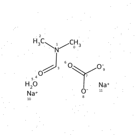 CN(C)C=O.O.O=C([O-])[O-].[Na+].[Na+]